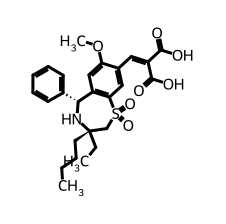 CCCC[C@]1(CC)CS(=O)(=O)c2cc(C=C(C(=O)O)C(=O)O)c(OC)cc2[C@@H](c2ccccc2)N1